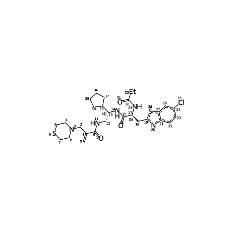 C=C(CN1CCSCC1)C(=O)NC[C@@H](NC(=O)[C@H](Cc1nc2ccc(Cl)cc2s1)NC(=O)CC)C1CCCC1